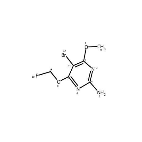 COc1nc(N)nc(OCF)c1Br